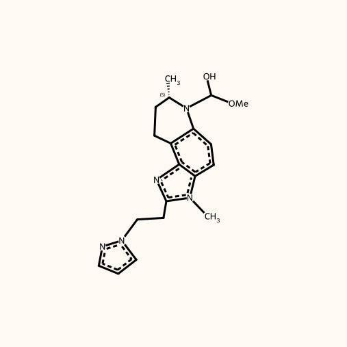 COC(O)N1c2ccc3c(nc(CCn4cccn4)n3C)c2CC[C@@H]1C